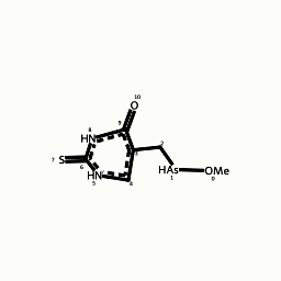 CO[AsH]Cc1c[nH]c(=S)[nH]c1=O